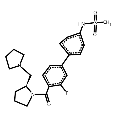 CS(=O)(=O)Nc1ccc(-c2ccc(C(=O)N3CCC[C@H]3CN3CCCC3)c(F)c2)cc1